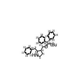 CC(C)(C)[Si](OCC1CCNC1Cc1ccccc1)(c1ccccc1)c1ccccc1